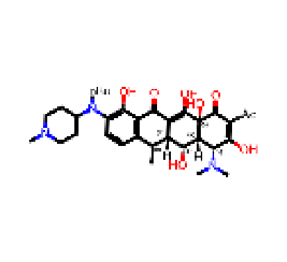 CCCCN(c1ccc2c(c1O)C(=O)C1=C(O)[C@]3(O)C(=O)C(C(C)=O)=C(O)[C@@H](N(C)C)[C@@H]3[C@@H](O)[C@@H]1[C@H]2C)C1CCN(C)CC1